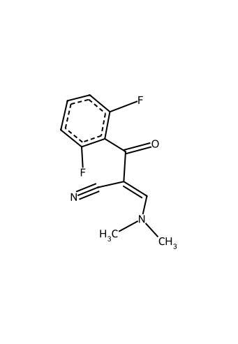 CN(C)C=C(C#N)C(=O)c1c(F)cccc1F